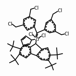 CC(C)(C)c1cc2c(cc1C(C)(C)C)[CH]([Zr]([Cl])([Cl])(=[C](c1cc(CCl)cc(CCl)c1)c1cc(CCl)cc(CCl)c1)[CH]1C=CC=C1)c1cc(C(C)(C)C)c(C(C)(C)C)cc1-2